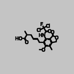 COc1c(C)c2c(c(NC(=O)C(F)(Cl)Cl)c1CC=CCC(C)C(=O)O)C(=O)OC2